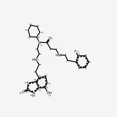 O=C(CCNCCc1ccccc1F)N(CCNCCc1ccc(O)c2[nH]c(=O)sc12)C1CCCCC1